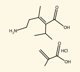 C=C(C)C(=O)O.CC(CCN)=C(C(=O)O)C(C)C.Cl